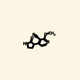 COc1nccc(C2CCNC2=O)c1C#N